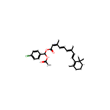 CCCC(=O)OC(OC(=O)/C=C(/C)C=CC=C(C)C=CC1=C(C)CCCC1(C)C)c1ccc(Cl)cc1